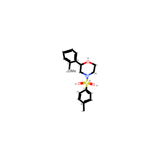 COc1ccccc1C1CN(S(=O)(=O)c2ccc(C)cc2)CCO1